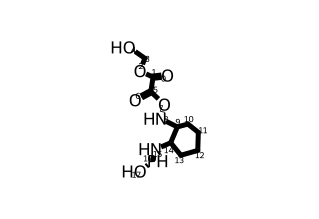 O=C(OCO)C(=O)ONC1CCCCC1NPO